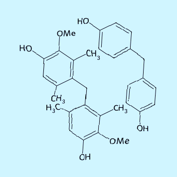 COc1c(O)cc(C)c(Cc2c(C)cc(O)c(OC)c2C)c1C.Oc1ccc(Cc2ccc(O)cc2)cc1